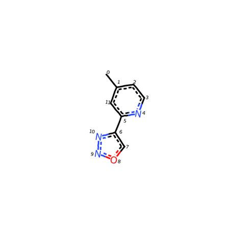 Cc1ccnc(-c2conn2)c1